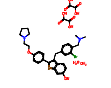 CN(C)Cc1ccc(Cc2c(-c3ccc(OCCN4CCCC4)cc3)sc3cc(O)ccc23)cc1Br.O.O.O=C(O)C(=O)O.O=C(O)C(=O)O